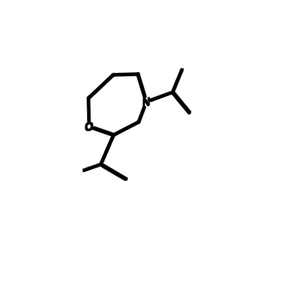 CC(C)C1CN(C(C)C)CCCO1